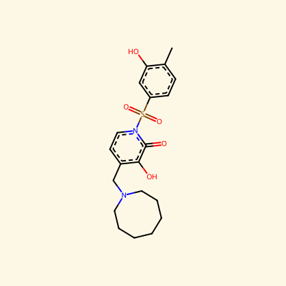 Cc1ccc(S(=O)(=O)n2ccc(CN3CCCCCCC3)c(O)c2=O)cc1O